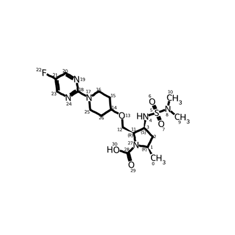 C[C@@H]1C[C@H](NS(=O)(=O)N(C)C)[C@H](COC2CCN(c3ncc(F)cn3)CC2)N1C(=O)O